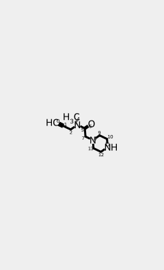 C#CCN(C)C(=O)CN1CCNCC1